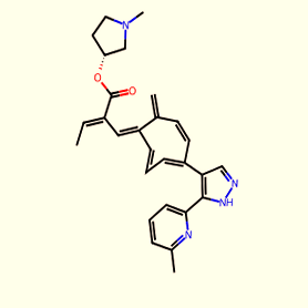 C=C1\C=C/C(c2cn[nH]c2-c2cccc(C)n2)=C/C=C/C1=C/C(=C\C)C(=O)O[C@@H]1CCN(C)C1